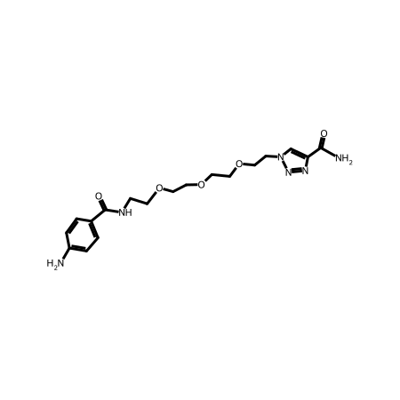 NC(=O)c1cn(CCOCCOCCOCCNC(=O)c2ccc(N)cc2)nn1